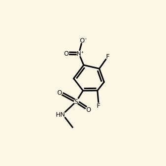 CNS(=O)(=O)c1cc([N+](=O)[O-])c(F)cc1F